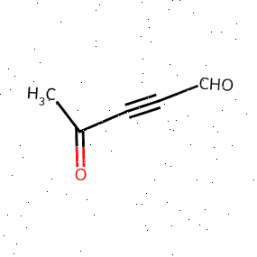 CC(=O)C#CC=O